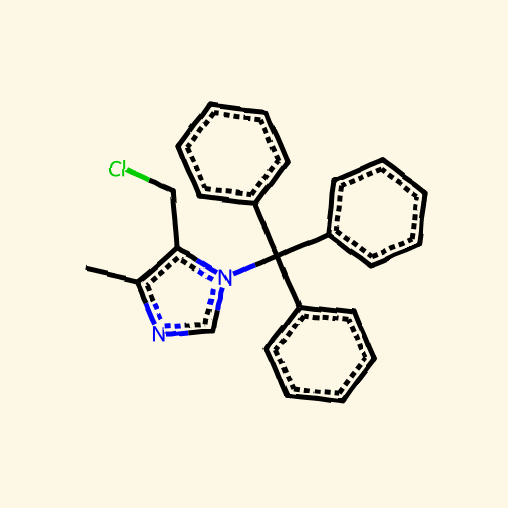 Cc1ncn(C(c2ccccc2)(c2ccccc2)c2ccccc2)c1CCl